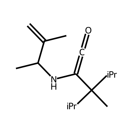 C=C(C)C(C)NC(=C=O)C(C)(C(C)C)C(C)C